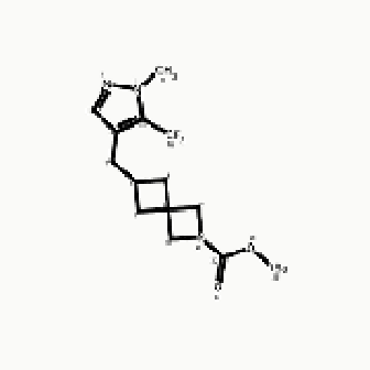 Cn1ncc(CC2CC3(C2)CN(C(=O)OC(C)(C)C)C3)c1C(F)(F)F